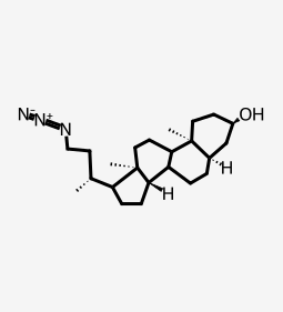 C[C@H](CCN=[N+]=[N-])C1CC[C@H]2C3CC[C@@H]4C[C@H](O)CC[C@]4(C)C3CC[C@]12C